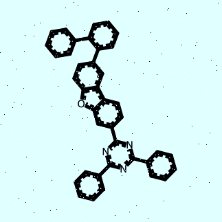 c1ccc(-c2nc(-c3ccccc3)nc(-c3ccc4c(c3)oc3ccc(-c5ccccc5-c5ccccc5)cc34)n2)cc1